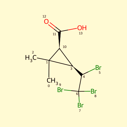 CC1(C)[C@H](C(Br)C(Br)(Br)Br)[C@@H]1C(=O)O